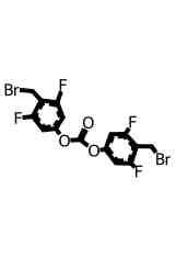 O=C(Oc1cc(F)c(CBr)c(F)c1)Oc1cc(F)c(CBr)c(F)c1